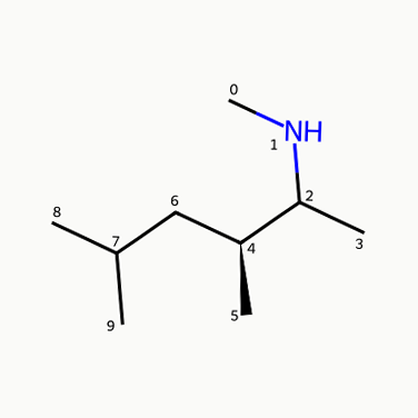 CNC(C)[C@@H](C)CC(C)C